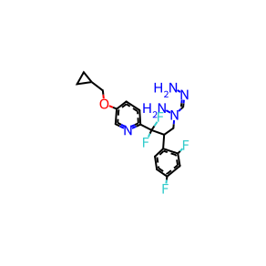 N/N=C\N(N)CC(c1ccc(F)cc1F)C(F)(F)c1ccc(OCC2CC2)cn1